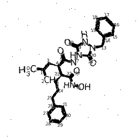 CC(C)C[C@@H](C(=O)Nn1c(=O)[nH]n(Cc2ccccc2)c1=O)[C@H](CCCc1ccccc1)C(=O)NO